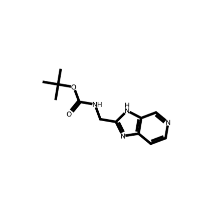 CC(C)(C)OC(=O)NCc1nc2ccncc2[nH]1